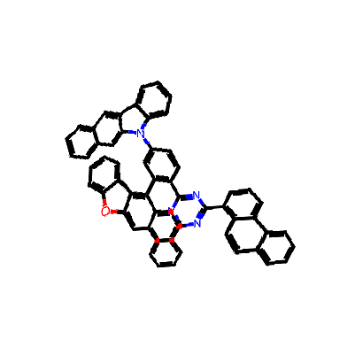 c1ccc(-c2nc(-c3ccc(-n4c5ccccc5c5cc6ccccc6cc54)cc3-c3c4ccccc4cc4oc5ccccc5c34)nc(-c3cccc4c3ccc3ccccc34)n2)cc1